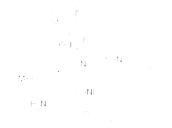 C=CC(=O)Nc1cc(N)c(OC)cc1N(C)CCN1CCCCC1.O=C(O)C(F)(F)F